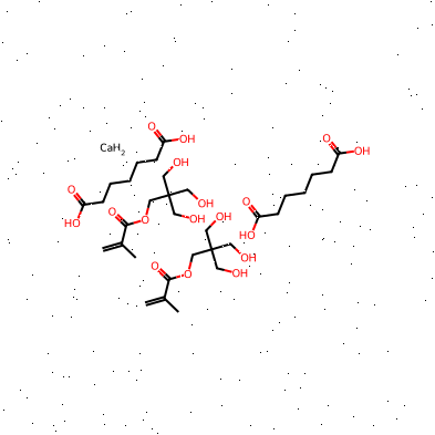 C=C(C)C(=O)OCC(CO)(CO)CO.C=C(C)C(=O)OCC(CO)(CO)CO.O=C(O)CCCCCC(=O)O.O=C(O)CCCCCC(=O)O.[CaH2]